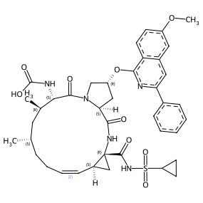 COc1ccc2c(O[C@@H]3C[C@H]4C(=O)N[C@]5(C(=O)NS(=O)(=O)C6CC6)C[C@H]5/C=C\CC[C@H](C)C[C@@H](C)[C@H](NC(=O)O)C(=O)N4C3)nc(-c3ccccc3)cc2c1